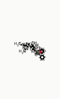 C=C(C)[C@]1(O)[C@H](n2cnc3c(OCC)nc(N)nc32)O[C@](F)(COP(=O)(N[C@@H](C)C(=O)OC2CCCCC2)Oc2ccccc2)[C@H]1O